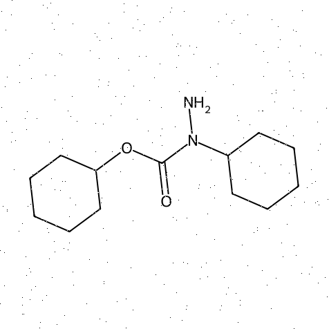 NN(C(=O)OC1CCCCC1)C1CCCCC1